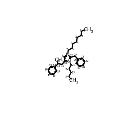 CCCCCCCCn1cc(CC(C)c2ccccc2)[n+](CCCCC)c1Cc1ccccc1